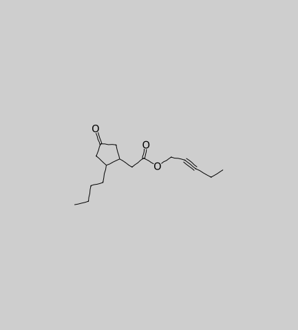 CCC#CCOC(=O)CC1CC(=O)CC1CCCC